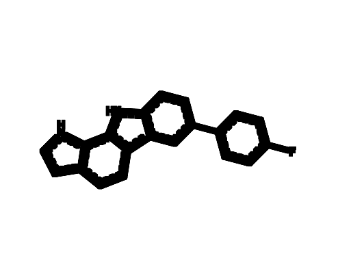 Fc1ccc(-c2ccc3[nH]c4c(ccc5cc[nH]c54)c3c2)cc1